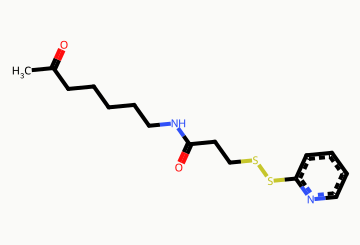 CC(=O)CCCCCNC(=O)CCSSc1ccccn1